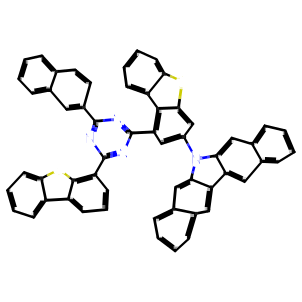 c1ccc2cc(-c3nc(-c4cccc5c4sc4ccccc45)nc(-c4cc(-n5c6cc7ccccc7cc6c6cc7ccccc7cc65)cc5sc6ccccc6c45)n3)ccc2c1